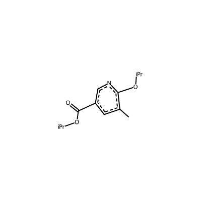 Cc1cc(C(=O)OC(C)C)cnc1OC(C)C